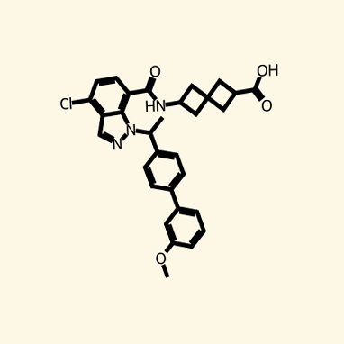 COc1cccc(-c2ccc(C(C)n3ncc4c(Cl)ccc(C(=O)NC5CC6(C5)CC(C(=O)O)C6)c43)cc2)c1